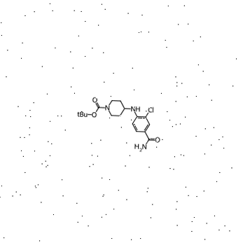 CC(C)(C)OC(=O)N1CCC(Nc2ccc(C(N)=O)cc2Cl)CC1